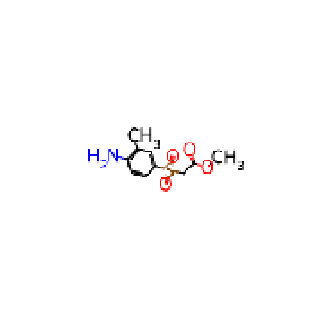 COC(=O)CS(=O)(=O)c1ccc(N)c(C)c1